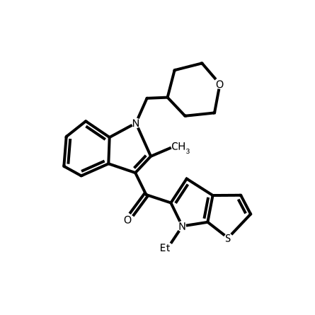 CCn1c(C(=O)c2c(C)n(CC3CCOCC3)c3ccccc23)cc2ccsc21